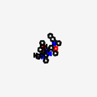 CC1C/C=C(c2cccc3c4ccccc4n(-c4ccccc4)c23)/N=C(c2ccc(-n3c4ccccc4c4cc5ccccc5cc43)c3oc4ccccc4c23)\N=C/1C1=CC=CC2c3ccccc3OC12C